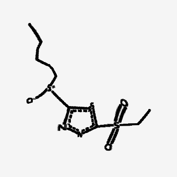 CCCC[S+]([O-])c1nnc(S(=O)(=O)CC)s1